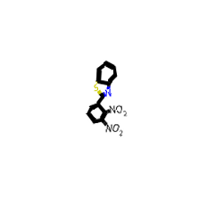 O=[N+]([O-])c1cccc(-c2nc3ccccc3s2)c1[N+](=O)[O-]